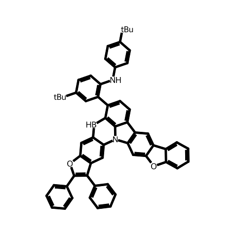 CC(C)(C)c1ccc(Nc2ccc(C(C)(C)C)cc2-c2ccc3c4cc5c(cc4n4c3c2Bc2cc3oc(-c6ccccc6)c(-c6ccccc6)c3cc2-4)oc2ccccc25)cc1